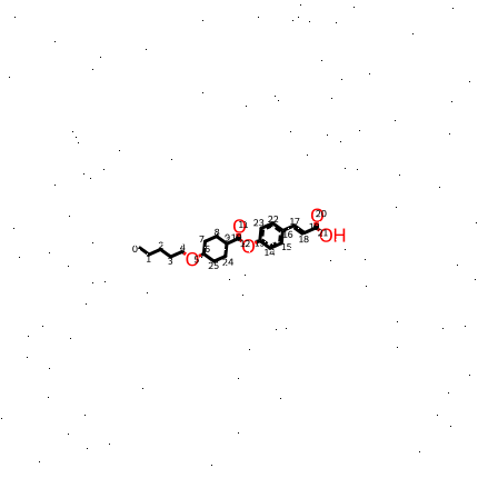 CCCCCOC1CCC(C(=O)Oc2ccc(/C=C/C(=O)O)cc2)CC1